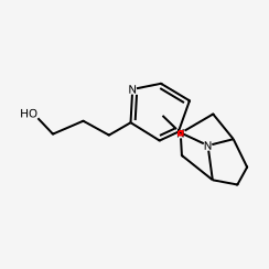 CN1CC2CCC(C1)N2c1ccnc(CCCO)c1